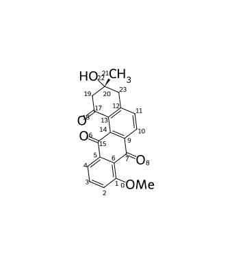 COc1cccc2c1C(=O)c1ccc3c(c1C2=O)C(=O)C[C@](C)(O)C3